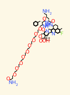 CC[C@@]1(O)C(=O)OCc2c1cc1n(c2=O)Cc2c-1nc1cc(F)c(C)c3c1c2[C@@H](NC(=O)[C@H](CCCCN)NC(=O)[C@@H](Cc1ccccc1)C(COCCOCCOCCOCCOCCOCCOCCOCCOCCC(N)=O)N=[N+]=[N-])CC3